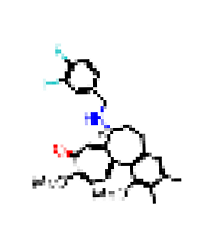 COc1c(C)c(C)cc2c1-c1ccc(OC)c(=O)cc1[C@@H](NCc1ccc(F)c(F)c1)CC2